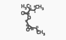 CCC(C)C(=O)OCC1OC1CC